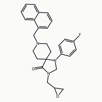 O=C1N(CC2CO2)CN(c2ccc(F)cc2)C12CCN(Cc1cccc3ccccc13)CC2